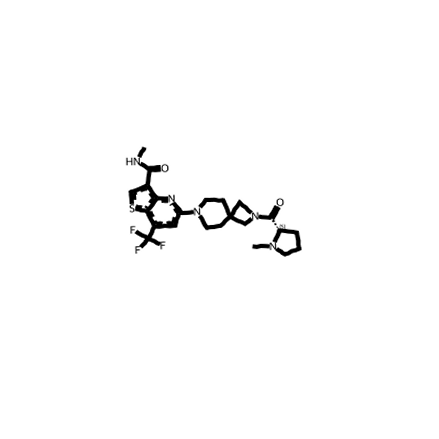 CNC(=O)c1csc2c(C(F)(F)F)cc(N3CCC4(CC3)CN(C(=O)[C@@H]3CCCN3C)C4)nc12